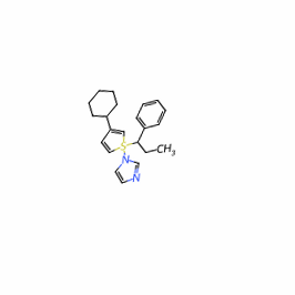 CCC(c1ccccc1)S1(n2ccnc2)C=CC(C2CCCCC2)=C1